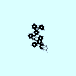 C=C/C=C\c1c(C)oc2c3ccccc3c3c(c4ccccc4n3-c3nc(-c4ccc5c(c4)c4ccccc4n5-c4ccccc4)c4ccccc4n3)c12